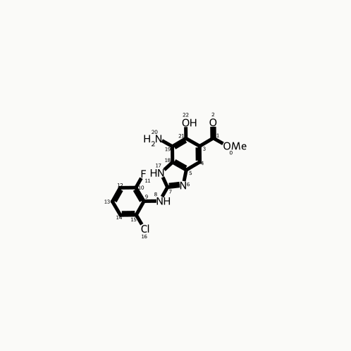 COC(=O)c1cc2nc(Nc3c(F)cccc3Cl)[nH]c2c(N)c1O